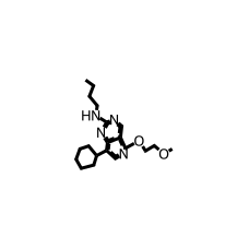 CCCCNc1ncc2c(OCCOC)ncc(C3CCCCC3)c2n1